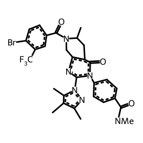 CNC(=O)c1ccc(-n2c(-n3nc(C)c(C)c3C)nc3c(c2=O)CC(C)N(C(=O)c2ccc(Br)c(C(F)(F)F)c2)C3)cc1